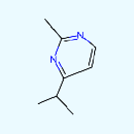 Cc1nccc(C(C)C)n1